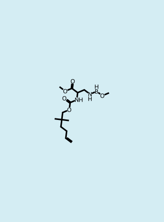 C=CCCC(C)(C)COC(=O)NC(CNBOC)C(=O)OC